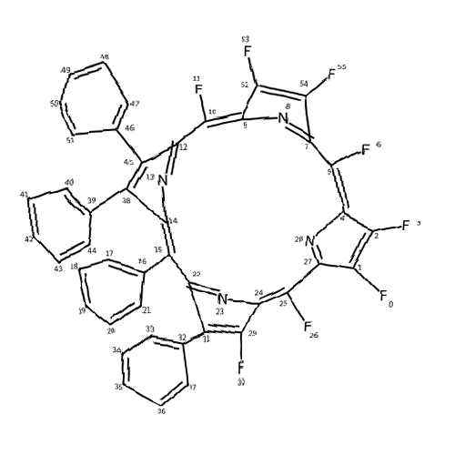 FC1=C(F)C2=C(F)C3=NC(=C(F)C4=NC(=C(c5ccccc5)C5=NC(=C(F)C1=N2)C(F)=C5c1ccccc1)C(c1ccccc1)=C4c1ccccc1)C(F)=C3F